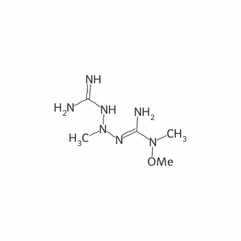 CON(C)C(N)=NN(C)NC(=N)N